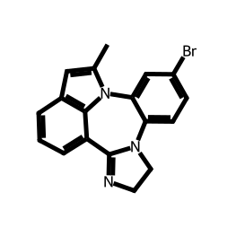 Cc1cc2cccc3c4n(c5ccc(Br)cc5n1c23)CCN=4